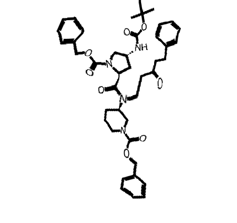 CC(C)(C)OC(=O)N[C@@H]1C[C@@H](C(=O)N(CCC(=O)CCc2ccccc2)[C@@H]2CCCN(C(=O)OCc3ccccc3)C2)N(C(=O)OCc2ccccc2)C1